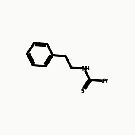 CC(C)C(=S)NCCc1ccccc1